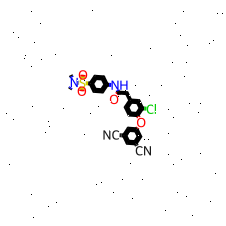 CN(C)S(=O)(=O)c1ccc(NC(=O)Cc2ccc(Oc3cc(C#N)cc(C#N)c3)c(Cl)c2)cc1